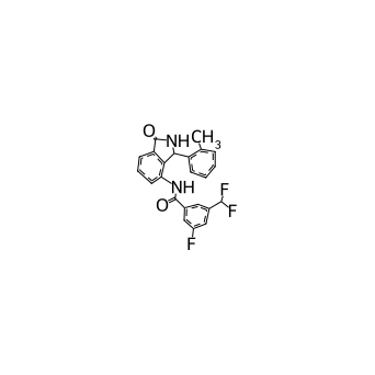 Cc1ccccc1C1NC(=O)c2cccc(NC(=O)c3cc(F)cc(C(F)F)c3)c21